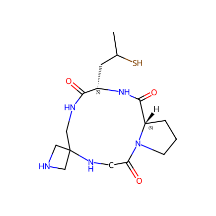 CC(S)C[C@@H]1NC(=O)[C@@H]2CCCN2C(=O)CNC2(CNC2)CNC1=O